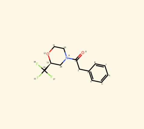 O=C(Cc1c[c]ccc1)N1CCO[C@H](C(F)(F)F)C1